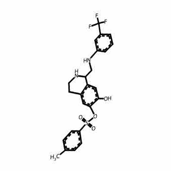 Cc1ccc(S(=O)(=O)Oc2cc3c(cc2O)C(CNc2cccc(C(F)(F)F)c2)NCC3)cc1